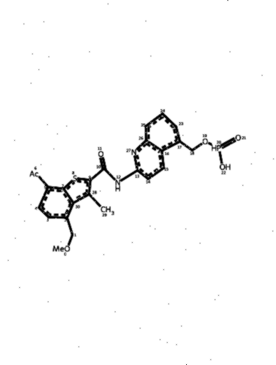 COCc1ccc(C(C)=O)c2sc(C(=O)Nc3ccc4c(CO[PH](=O)O)cccc4n3)c(C)c12